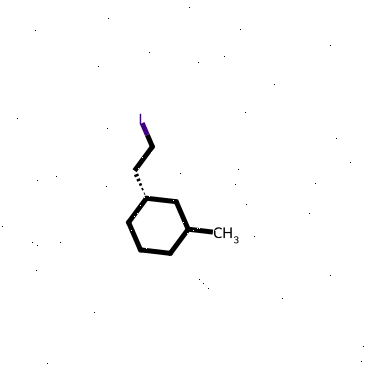 CC1CCC[C@H](CCI)C1